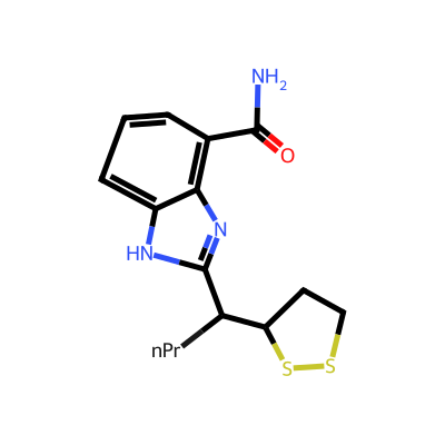 CCCC(c1nc2c(C(N)=O)cccc2[nH]1)C1CCSS1